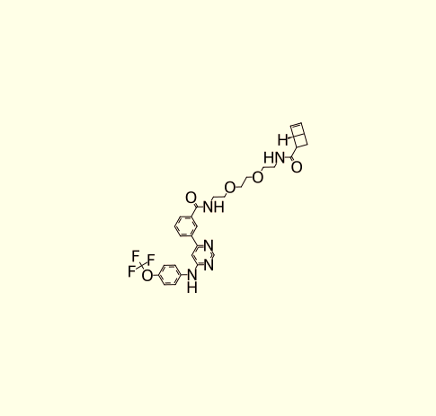 O=C(NCCOCCOCCNC(=O)C1CC2C=C[C@H]21)c1cccc(-c2cc(Nc3ccc(OC(F)(F)F)cc3)ncn2)c1